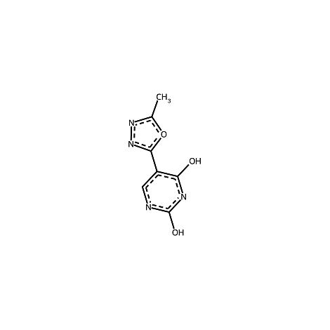 Cc1nnc(-c2cnc(O)nc2O)o1